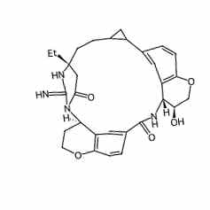 CC[C@]12CCC3CC3c3ccc4c(c3)[C@@H](NC(=O)c3ccc5c(c3)[C@@H](CCO5)N(C(=N)N1)C(=O)C2)[C@H](O)CO4